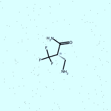 NC[C@@H](C(N)=O)C(F)(F)F